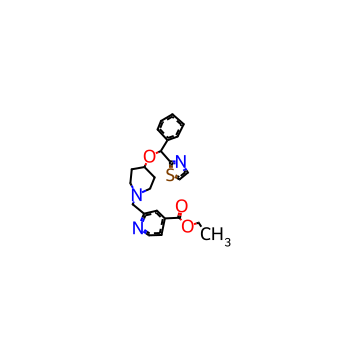 CCOC(=O)c1ccnc(CN2CCC(OC(c3ccccc3)c3nccs3)CC2)c1